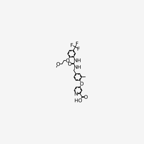 COCCOc1ccc(C(F)(F)F)cc1NC(=O)NCc1ccc(Oc2ccnc(C(=O)O)c2)c(C)c1